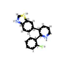 Fc1ccccc1-c1ncccc1-c1ccc2ncsc2c1